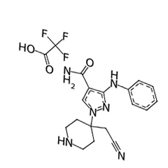 N#CCC1(n2cc(C(N)=O)c(Nc3ccccc3)n2)CCNCC1.O=C(O)C(F)(F)F